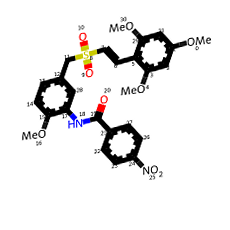 COc1cc(OC)c(/C=C/S(=O)(=O)Cc2ccc(OC)c(NC(=O)c3ccc([N+](=O)[O-])cc3)c2)c(OC)c1